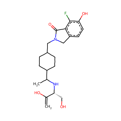 C=C(O)[C@@H](CO)NC(C)C1CCC(CN2Cc3ccc(O)c(F)c3C2=O)CC1